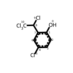 Oc1ccc(Cl)cc1C(Cl)C(Cl)(Cl)Cl